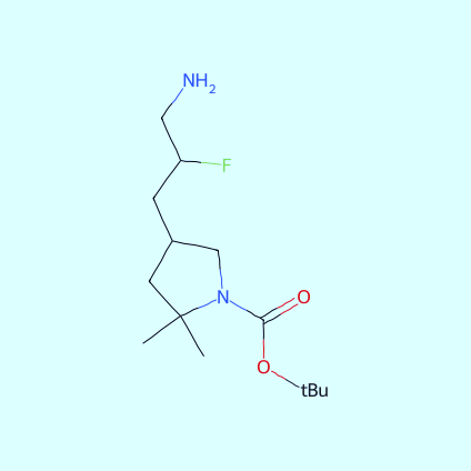 CC(C)(C)OC(=O)N1CC(CC(F)CN)CC1(C)C